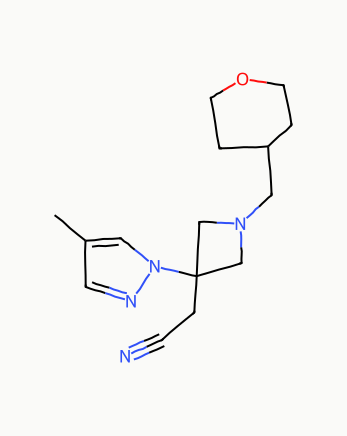 Cc1cnn(C2(CC#N)CN(CC3CCOCC3)C2)c1